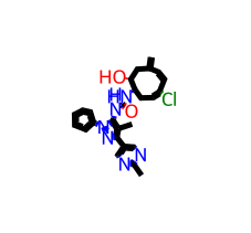 C=C1/C=C\C(Cl)=C/C[C@@H](NC(=O)Nc2c(C)c(-c3cnc(C)nc3)nn2-c2ccccc2)[C@H](O)C1